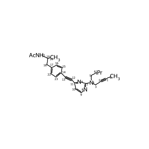 CC#CCN(CC(C)C)c1nccc(C#Cc2ccc(CC(C)NC(C)=O)cc2)n1